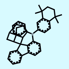 CC1(C)CCC(C)(C)c2cc(N(c3ccccc3)c3cccc4c3C3(c5ccccc5-4)C4CC5CC6CC3C64C5)ccc21